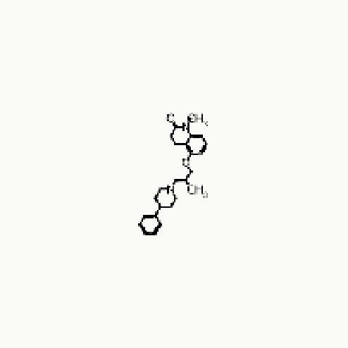 CC(COc1cccc2c1CCC(=O)N2C)CN1CCC(c2ccccc2)CC1